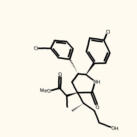 COC(=O)C(C)[C@@]1([C@@H](C)CCO)C[C@H](c2cccc(Cl)c2)[C@@H](c2ccc(Cl)cc2)NC1=O